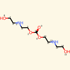 O=C(OCCNCCO)OCCNCCO